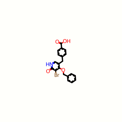 O=C(O)c1ccc(Cc2c[nH]c(=O)c(Br)c2OCc2ccccc2)cc1